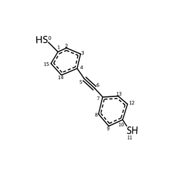 Sc1ccc(C#Cc2ccc(S)cc2)cc1